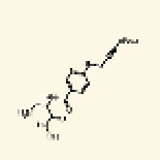 CCCCCC#CCNc1ccc(C(=O)N[C@@H](CN)C(=O)NO)cn1